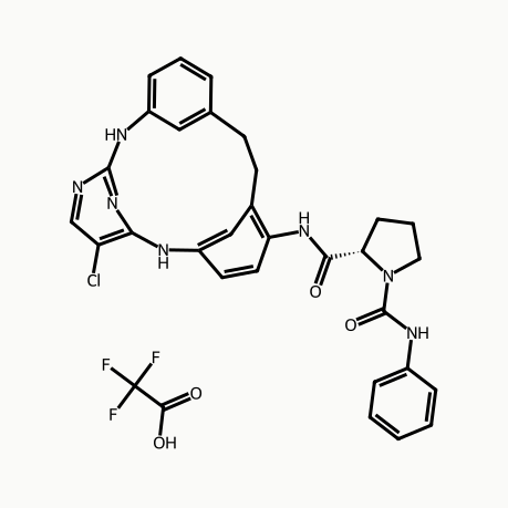 O=C(Nc1ccc2cc1CCc1cccc(c1)Nc1ncc(Cl)c(n1)N2)[C@@H]1CCCN1C(=O)Nc1ccccc1.O=C(O)C(F)(F)F